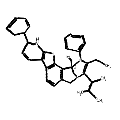 CCC1=C(C(C)C(C)C)N2Cc3ccc4c5c(oc4c3[C@@H]2N1c1ccccc1)NC(C1C=CC=CC1)C=C5